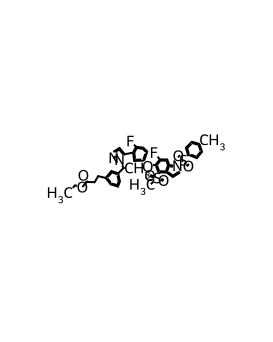 CCOC(=O)CCc1cccc(C(C)n2nccc2-c2cc(Oc3c(F)cc4c(ccn4S(=O)(=O)c4ccc(C)cc4)c3S(C)(=O)=O)ccc2F)c1